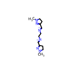 CN1CCC(/C=N/CC/N=C/C2=NN(C)CC2)=N1